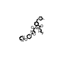 C[C@H]1CCN(Cc2ccc(NC(=O)c3coc(N4CCC(Oc5ncccn5)CC4)n3)c(C(=O)NCCF)c2)C1